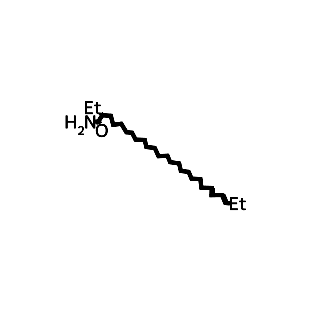 CCC=CC=CCCCCCCCCCCCCCCCCCCC(CC)C(N)=O